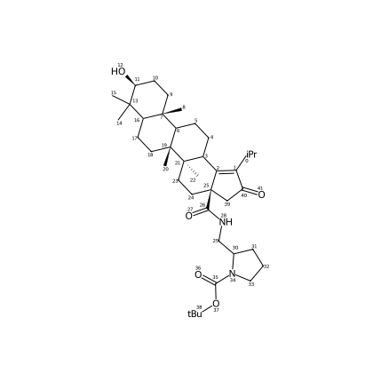 CC(C)C1=C2C3CCC4[C@@]5(C)CC[C@H](O)C(C)(C)C5CC[C@@]4(C)[C@]3(C)CC[C@@]2(C(=O)NCC2CCCN2C(=O)OC(C)(C)C)CC1=O